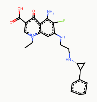 CCn1cc(C(=O)O)c(=O)c2c(N)c(F)c(NCCN[C@@H]3C[C@H]3c3ccccc3)cc21